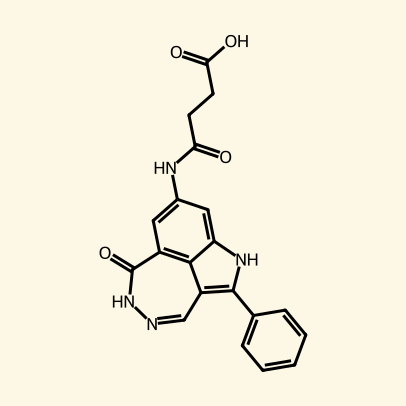 O=C(O)CCC(=O)Nc1cc2c3c(c(-c4ccccc4)[nH]c3c1)C=NNC2=O